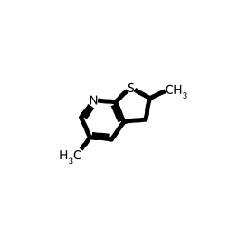 Cc1cnc2c(c1)CC(C)S2